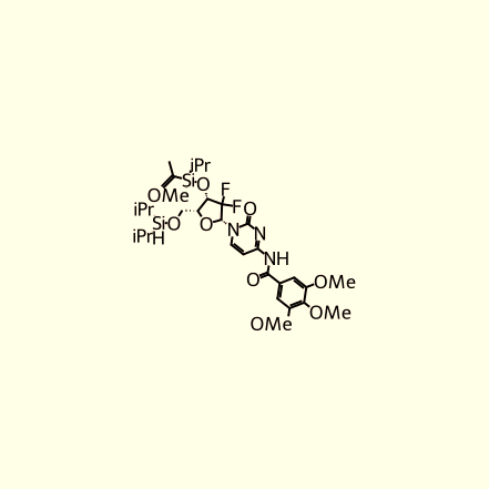 C=C(C)[Si](OC)(O[C@H]1[C@@H](CO[SiH](C(C)C)C(C)C)O[C@@H](n2ccc(NC(=O)c3cc(OC)c(OC)c(OC)c3)nc2=O)C1(F)F)C(C)C